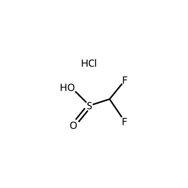 Cl.O=S(O)C(F)F